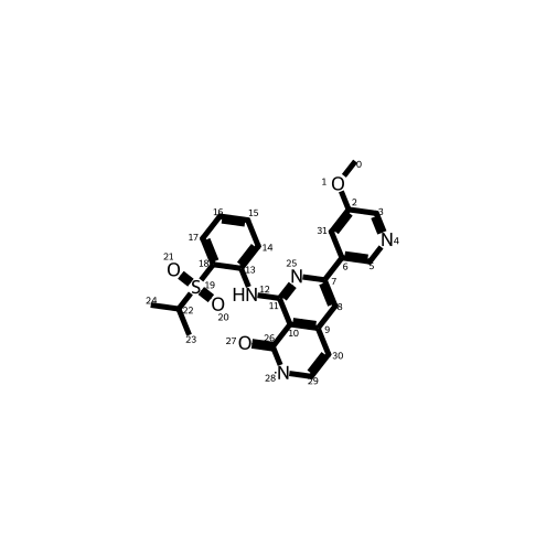 COc1cncc(-c2cc3c(c(Nc4ccccc4S(=O)(=O)C(C)C)n2)C(=O)[N]C=C3)c1